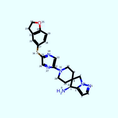 N[C@@H]1c2ccnn2CC12CCN(c1cnc(Sc3ccc4c(c3)CCO4)cn1)CC2